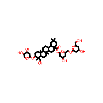 CC1(C)CCC2(C(=O)OC3CC(O)CC(COC4CC(O)CC(CO)O4)O3)CCC3C(CCC4C3(C)CCC3C(C)(CO)C(OC5CC(O)C(O)CO5)CCC34C)C2C1